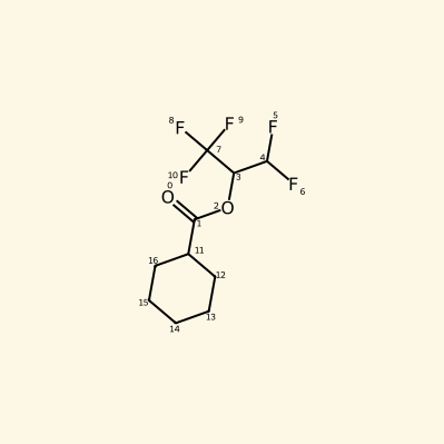 O=C(OC(C(F)F)C(F)(F)F)C1CCCCC1